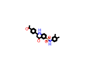 CC(=O)c1ccc(C2CC(=O)c3cc(S(=O)(=O)Nc4ccc(C)c(C)c4)ccc3N2)cc1